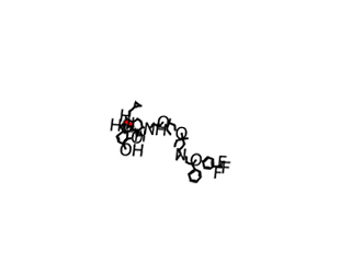 CCC(C)(CCOC(C)(CC)CCN(C)CCC(Oc1ccc(C(F)(F)F)cc1)c1ccccc1)OCCNC1CC[C@@]2(O)[C@H]3Cc4ccc(O)c5c4[C@@]2(CCN3CC2CC2)[C@H]1O5